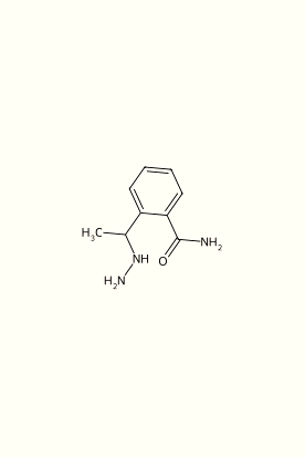 CC(NN)c1ccccc1C(N)=O